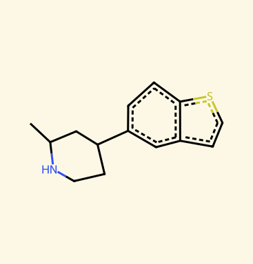 CC1CC(c2ccc3sccc3c2)CCN1